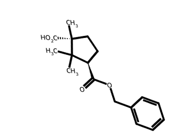 CC1(C)[C@H](C(=O)OCc2ccccc2)CC[C@@]1(C)C(=O)O